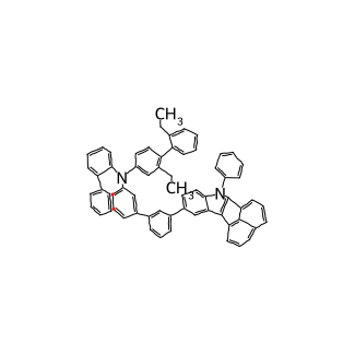 CCc1ccccc1-c1ccc(N(c2cccc(-c3cccc(-c4ccc5c(c4)c4c(n5-c5ccccc5)-c5cccc6cccc-4c56)c3)c2)c2ccccc2-c2ccccc2)cc1CC